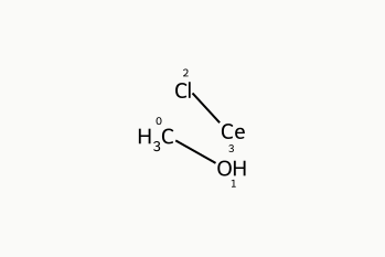 CO.[Cl][Ce]